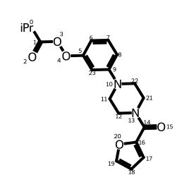 CC(C)C(=O)OOc1cccc(N2CCN(C(=O)c3ccco3)CC2)c1